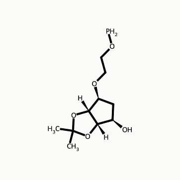 CC1(C)O[C@@H]2[C@H](O1)[C@@H](OCCOP)C[C@H]2O